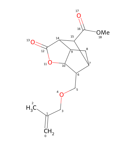 C=C(C)COCC1C2CC3C1OC(=O)C3C2C(=O)OC